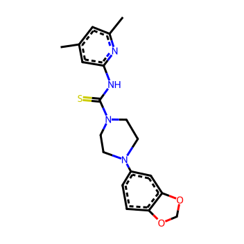 Cc1cc(C)nc(NC(=S)N2CCN(c3ccc4c(c3)OCO4)CC2)c1